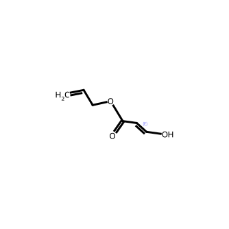 C=CCOC(=O)/C=C/O